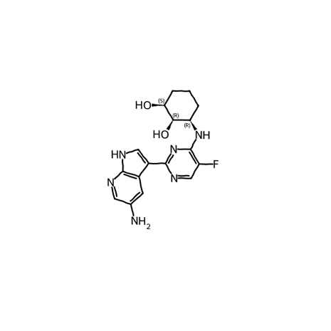 Nc1cnc2[nH]cc(-c3ncc(F)c(N[C@@H]4CCC[C@H](O)[C@@H]4O)n3)c2c1